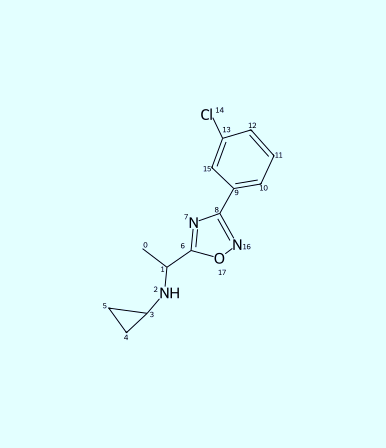 CC(NC1CC1)c1nc(-c2cccc(Cl)c2)no1